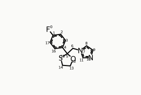 Fc1ccc(C2(Cn3ccnc3)OCCS2)cc1